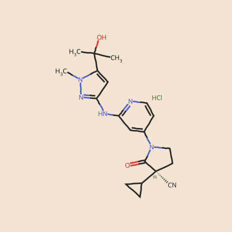 Cl.Cn1nc(Nc2cc(N3CC[C@@](C#N)(C4CC4)C3=O)ccn2)cc1C(C)(C)O